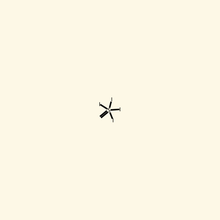 C=S(I)(I)(I)I